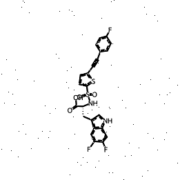 O=C(O)[C@@H](Cc1c[nH]c2cc(F)c(F)cc12)NS(=O)(=O)c1ccc(C#Cc2ccc(F)cc2)s1